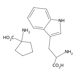 NC(Cc1c[nH]c2ccccc12)C(=O)O.NC1(C(=O)O)CCCC1